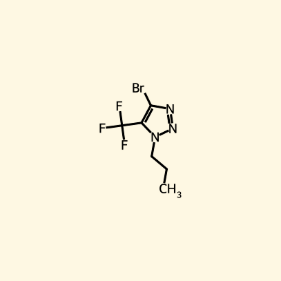 CCCn1nnc(Br)c1C(F)(F)F